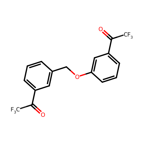 O=C(c1cccc(COc2cccc(C(=O)C(F)(F)F)c2)c1)C(F)(F)F